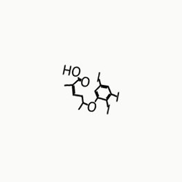 CC(=CCC(C)Oc1cc(I)cc(I)c1I)C(=O)O